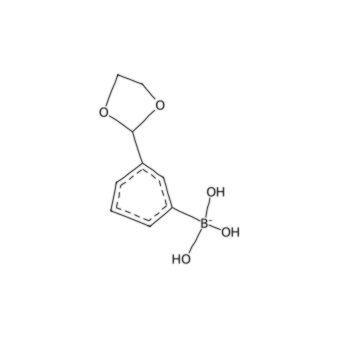 O[B-](O)(O)c1cccc(C2OCCO2)c1